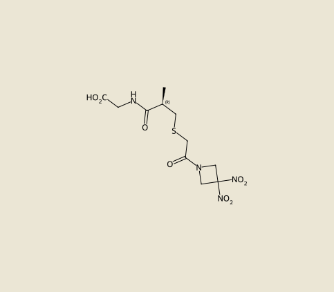 C[C@@H](CSCC(=O)N1CC([N+](=O)[O-])([N+](=O)[O-])C1)C(=O)NCC(=O)O